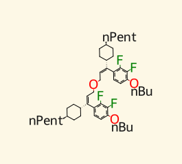 CCCCC[C@H]1CC[C@H](C(=CCOCC=C(c2ccc(OCCCC)c(F)c2F)[C@H]2CC[C@H](CCCCC)CC2)c2ccc(OCCCC)c(F)c2F)CC1